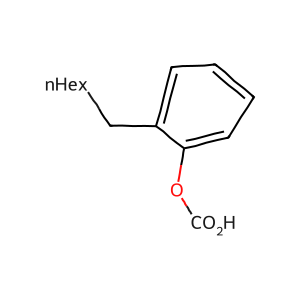 CCCCCCCc1ccccc1OC(=O)O